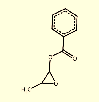 CC1OC1OC(=O)c1ccccc1